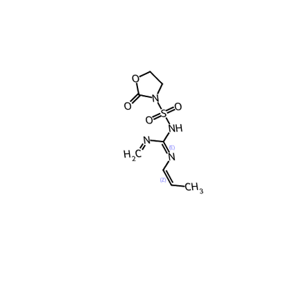 C=N/C(=N\C=C/C)NS(=O)(=O)N1CCOC1=O